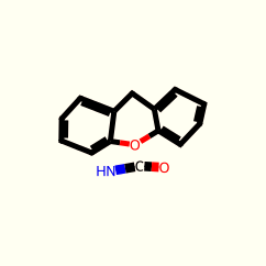 N=C=O.c1ccc2c(c1)Cc1ccccc1O2